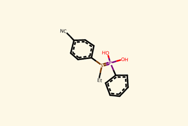 CCS(c1ccc(C#N)cc1)=P(O)(O)c1ccccc1